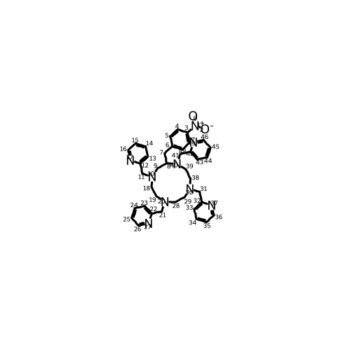 O=[N+]([O-])c1ccc(CC2CN(Cc3ccccn3)CCN(Cc3ccccn3)CCN(Cc3ccccn3)CCN2Cc2ccccn2)cc1